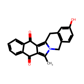 Cc1c2c(c3n1Cc1ccc(O)cc1C3)C(=O)c1ccccc1C2=O